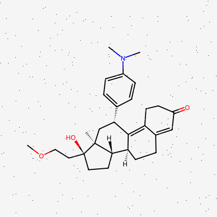 COCC[C@@]1(O)CC[C@H]2[C@@H]3CCC4=CC(=O)CCC4=C3[C@@H](c3ccc(N(C)C)cc3)C[C@@]21C